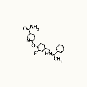 C[C@H](NCc1ccc(Oc2ccc(C(N)=O)cn2)c(F)c1)c1ccccc1